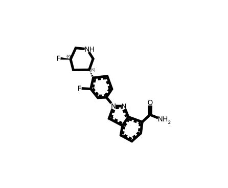 NC(=O)c1cccc2cn(-c3ccc([C@H]4CNC[C@H](F)C4)c(F)c3)nc12